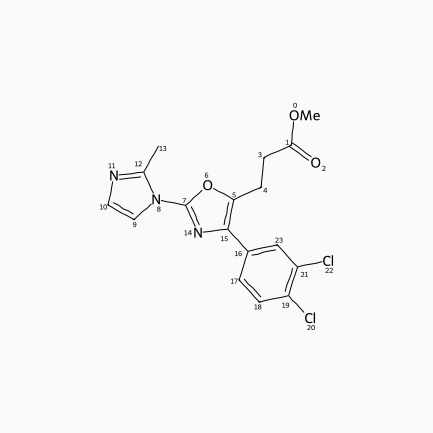 COC(=O)CCc1oc(-n2ccnc2C)nc1-c1ccc(Cl)c(Cl)c1